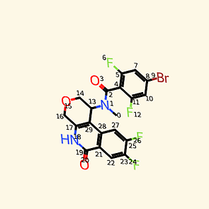 CN(C(=O)c1c(F)cc(Br)cc1F)C1COCc2[nH]c(=O)c3cc(F)c(F)cc3c21